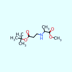 COC(=O)C(C)NCCC(=O)OC(C)(C)C